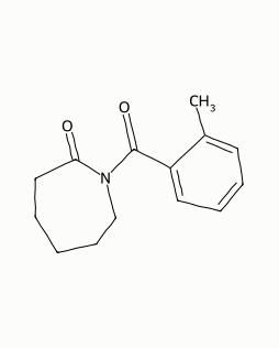 Cc1ccccc1C(=O)N1CCCCCC1=O